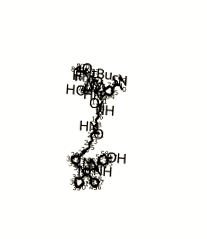 Cc1ncsc1-c1ccc([C@H](CC(=O)NCCCCNC(=O)CCCCC#Cc2cccc(Cn3c(-c4ccccc4)c(-c4ccccc4)c4c(=N)n(C5CCC(O)CC5)cnc43)c2)NC(=O)[C@@H]2C[C@@H](O)CN2C(=O)C(NC(=O)C2(F)CC2)C(C)(C)C)cc1